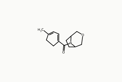 CC1=CC=C(C(=O)N2C3CCC2COC3)CC1